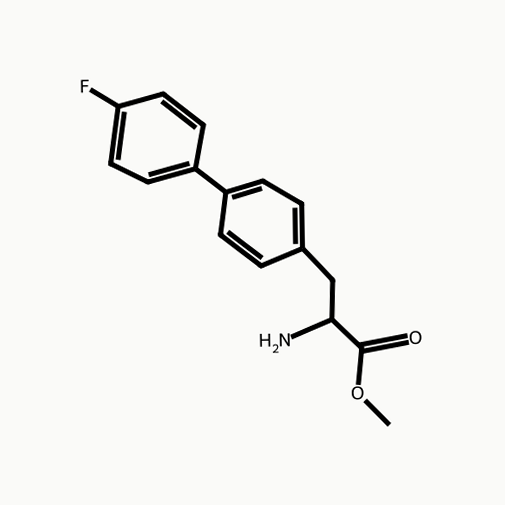 COC(=O)C(N)Cc1ccc(-c2ccc(F)cc2)cc1